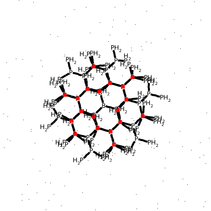 PP(P)P(P)P(B(B(B(B(P(P(P(P)P)P(P)P)P(P(P)P)P(P)P)P(P(P(P)P)P(P)P)P(P(P)P)P(P)P)B(P(P(P(P)P)P(P)P)P(P(P)P)P(P)P)P(P(P(P)P)P(P)P)P(P(P)P)P(P)P)P(P(P(P)P)P(P)P)P(P(P)P)P(P)P)P(P(P)P)P(P)P)P(P)P